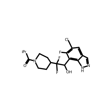 CC(C)C(=O)N1CCC(C(F)(F)C(O)c2c(F)c(Cl)cc3cn[nH]c23)CC1